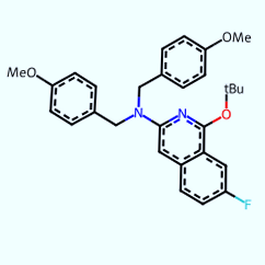 COc1ccc(CN(Cc2ccc(OC)cc2)c2cc3ccc(F)cc3c(OC(C)(C)C)n2)cc1